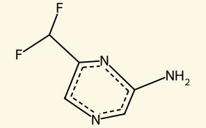 Nc1cncc(C(F)F)n1